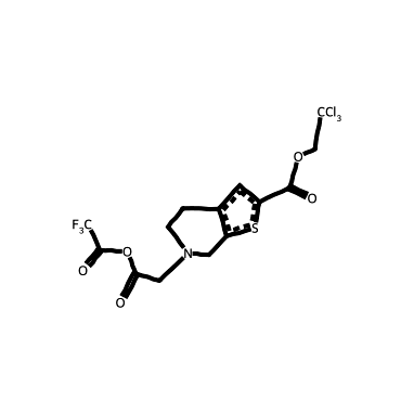 O=C(CN1CCc2cc(C(=O)OCC(Cl)(Cl)Cl)sc2C1)OC(=O)C(F)(F)F